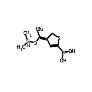 C[SiH](C)OC(=C1C=C(B(O)O)SC1)C(C)(C)C